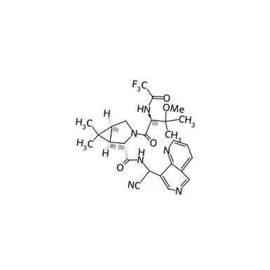 COC(C)(C)[C@H](NC(=O)C(F)(F)F)C(=O)N1C[C@H]2[C@@H]([C@H]1C(=O)NC(C#N)c1cncc3cccnc13)C2(C)C